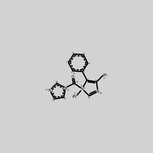 CC(C)C1=C(c2ccccc2)[N+](C(=O)n2ccnc2)(C(C)C)C=N1